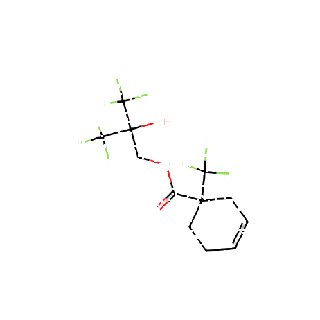 O=C(OCC(O)(C(F)(F)F)C(F)(F)F)C1(C(F)(F)F)CC=CCC1